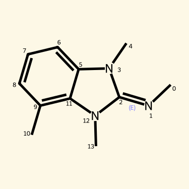 C/N=c1\n(C)c2cccc(C)c2n1C